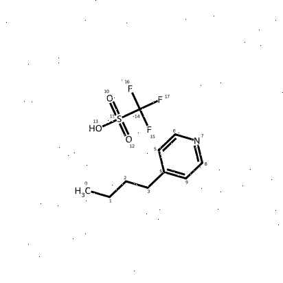 CCCCc1ccncc1.O=S(=O)(O)C(F)(F)F